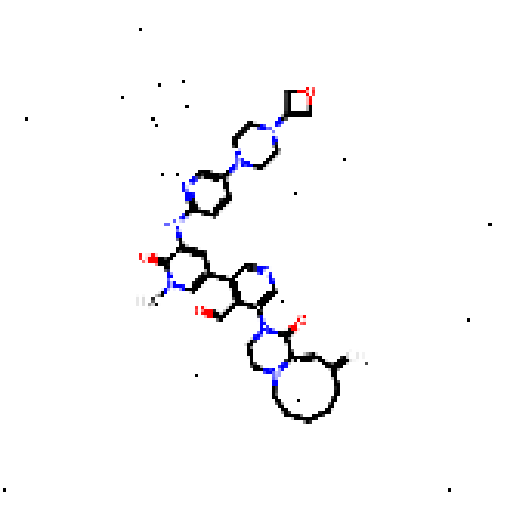 C=C1/C=C2/C(=O)N(c3cncc(-c4cc(Nc5ccc(N6CCN(C7COC7)CC6)cn5)c(=O)n(C)c4)c3C=O)CCN2CCCCC1